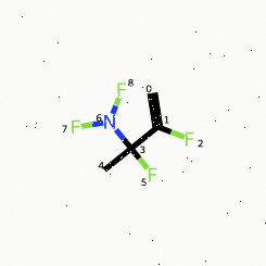 C=C(F)C(C)(F)N(F)F